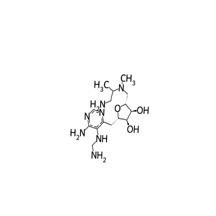 CC(CN)N(C)C[C@H]1O[C@@H](Cc2ncnc(N)c2NCN)[C@H](O)[C@@H]1O